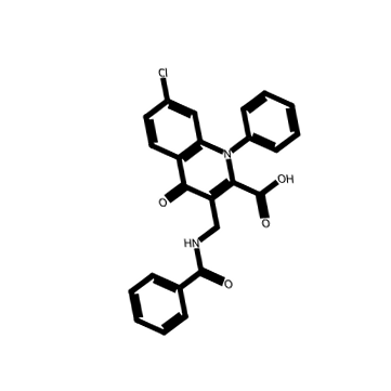 O=C(NCc1c(C(=O)O)n(-c2ccccc2)c2cc(Cl)ccc2c1=O)c1ccccc1